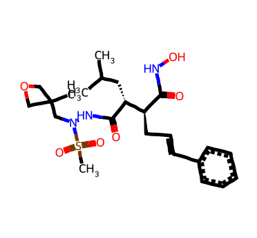 CC(C)C[C@@H](C(=O)NN(CC1(C)COC1)S(C)(=O)=O)[C@H](CC=Cc1ccccc1)C(=O)NO